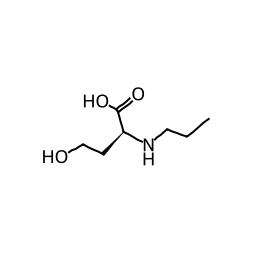 CCCN[C@@H](CCO)C(=O)O